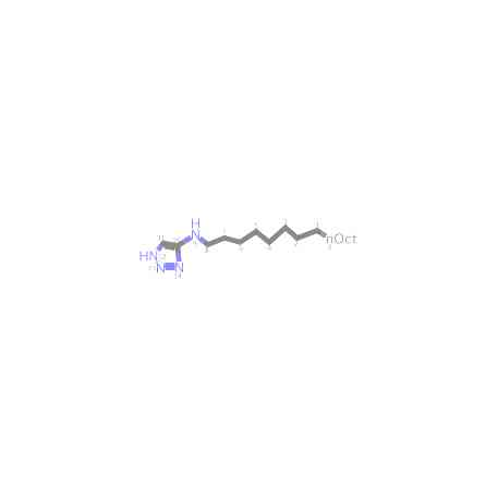 CCCCCCCCCCCCCCCCNc1c[nH]nn1